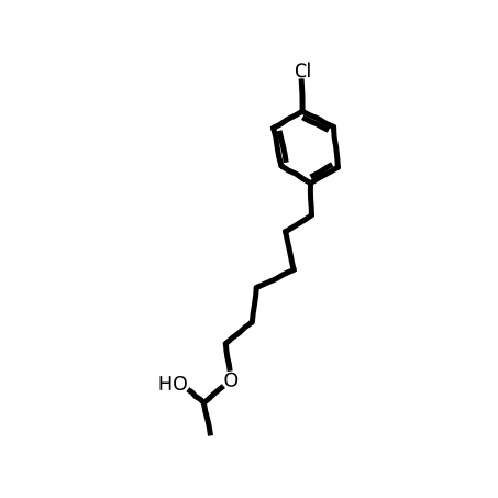 CC(O)OCCCCCCc1ccc(Cl)cc1